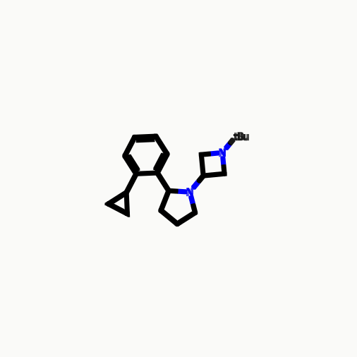 CC(C)(C)N1CC(N2CCCC2c2ccccc2C2CC2)C1